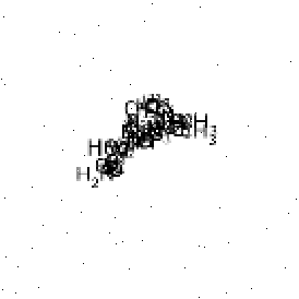 CC(C)(C)OC(=O)N1CCc2ccc(Cl)cc2[C@H]1c1csc(C(=O)c2cncnc2N[C@@H]2C[C@H](COS(N)(=O)=O)[C@@H](O)C2)c1